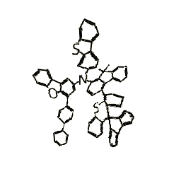 CC1(C)c2ccccc2-c2c(-c3cccc4c3Sc3ccccc3C43c4ccccc4-c4ccccc43)ccc(N(c3ccc4c(c3)sc3ccccc34)c3cc(-c4ccc(-c5ccccc5)cc4)c4oc5ccccc5c4c3)c21